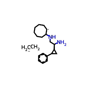 NC(CNC1[CH]CCCCCC1)C1CC1c1ccccc1.[CH2].[CH2]